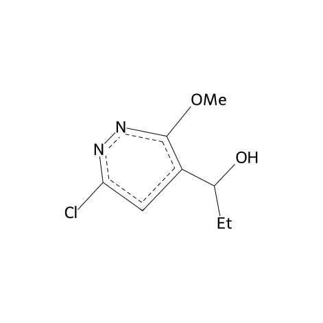 CCC(O)c1cc(Cl)nnc1OC